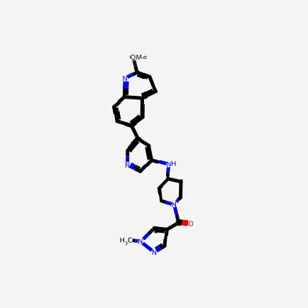 COc1ccc2cc(-c3cncc(NC4CCN(C(=O)c5cnn(C)c5)CC4)c3)ccc2n1